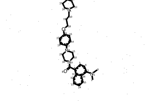 CN(C)c1ccc(C(=O)N2CCN(c3ccc(OCCCN4CCCCC4)cc3)CC2)c2ccccc12